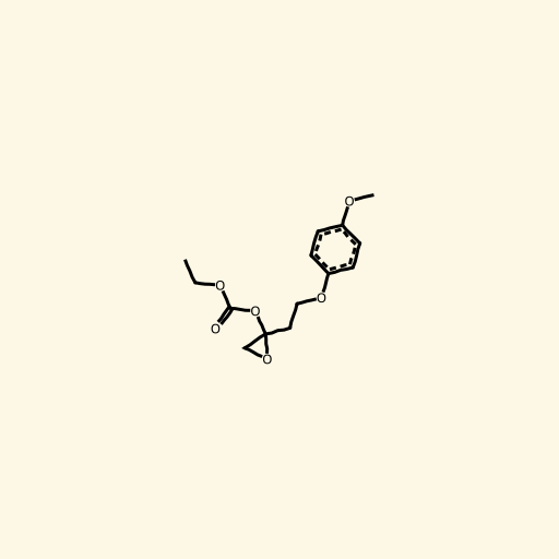 CCOC(=O)OC1(CCOc2ccc(OC)cc2)CO1